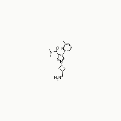 Cc1cccc(-c2cn([C@H]3C[C@H](CN)C3)nc2C(=O)N(C)C)n1